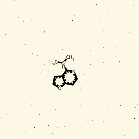 C[SH](C)c1nccc2occc12